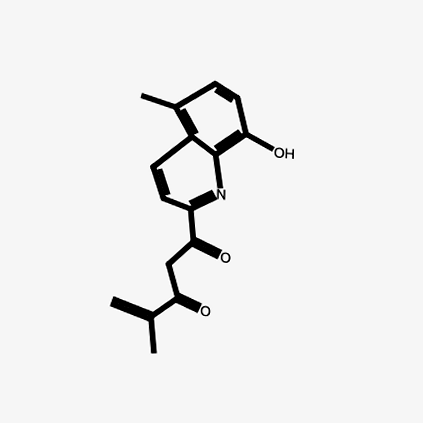 C=C(C)C(=O)CC(=O)c1ccc2c(C)ccc(O)c2n1